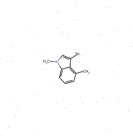 [3H]c1cn(C)c2cccc(C)c12